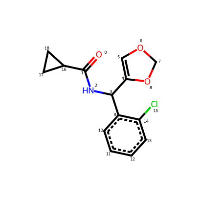 O=C(NC(C1=COCO1)c1ccccc1Cl)C1CC1